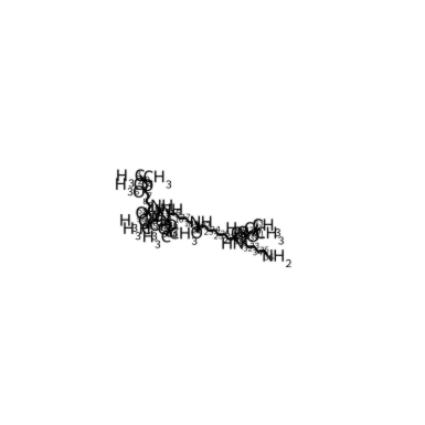 CC(C)(C)OC(=O)CCC(NC(=O)NC(CCCCNC(=O)CCCCCCC(=O)NC(CCCCN)C(=O)OC(C)(C)C)C(=O)OC(C)(C)C)C(=O)OC(C)(C)C